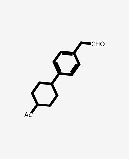 CC(=O)C1CCC(c2ccc(CC=O)cc2)CC1